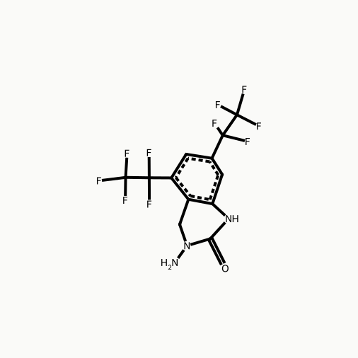 NN1Cc2c(cc(C(F)(F)C(F)(F)F)cc2C(F)(F)C(F)(F)F)NC1=O